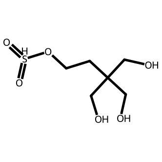 O=[SH](=O)OCCC(CO)(CO)CO